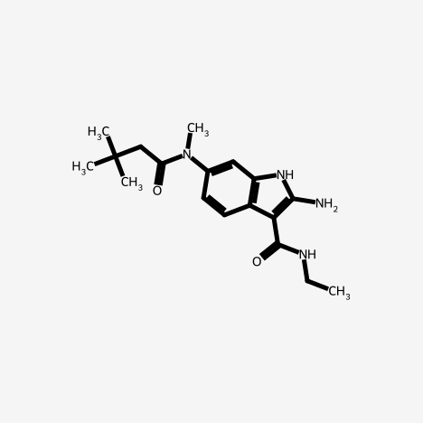 CCNC(=O)c1c(N)[nH]c2cc(N(C)C(=O)CC(C)(C)C)ccc12